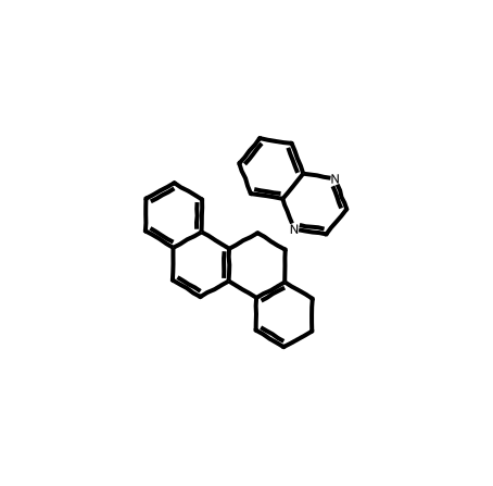 C1=CC2=C(CC1)CCc1c2ccc2ccccc12.c1ccc2nccnc2c1